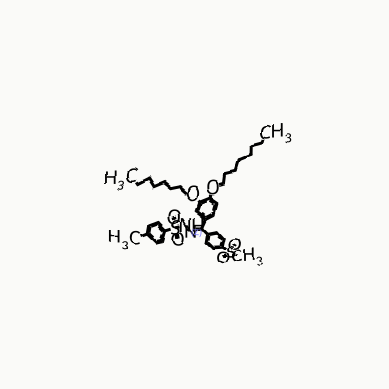 CCCCCCCCOc1ccc(/C(=N\NS(=O)(=O)c2ccc(C)cc2)c2ccc(S(C)(=O)=O)cc2)cc1OCCCCCCCC